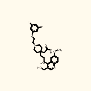 COc1ccc2ncc(CO)c([C@H](F)CCC3(CC(=O)O)CCN(CCOc4cc(F)cc(F)c4)CC3)c2c1